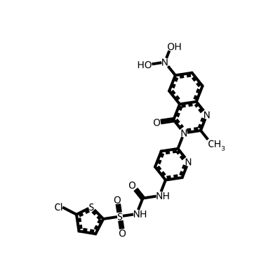 Cc1nc2ccc(N(O)O)cc2c(=O)n1-c1ccc(NC(=O)NS(=O)(=O)c2ccc(Cl)s2)cn1